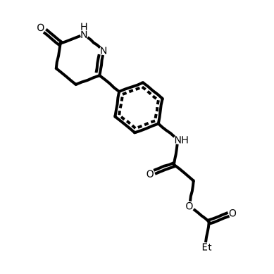 CCC(=O)OCC(=O)Nc1ccc(C2=NNC(=O)CC2)cc1